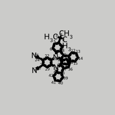 CC(C)(C)c1ccc2c(c1)c1c3ccccc3ccc1n2-c1cc(C#N)c(C#N)cc1-n1c2ccccc2c2ccccc21